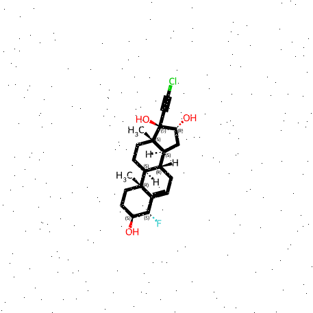 C[C@]12CC[C@H](O)[C@@H](F)C1=CC[C@@H]1[C@@H]2CC[C@@]2(C)[C@H]1C[C@@H](O)[C@@]2(O)C#CCl